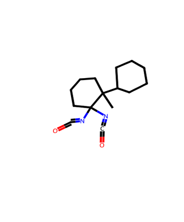 CC1(C2CCCCC2)CCCCC1(N=C=O)N=C=O